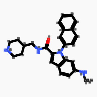 O=C(O)Nc1ccc2cc(C(=O)NCC3CCNCC3)n(-c3ccc4ccccc4c3)c2c1